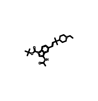 CCN1CCC(C(C)(C)/C=C/c2ccc3c(c2)c(NC(C)=O)cn3C(=O)OC(C)(C)C)CC1